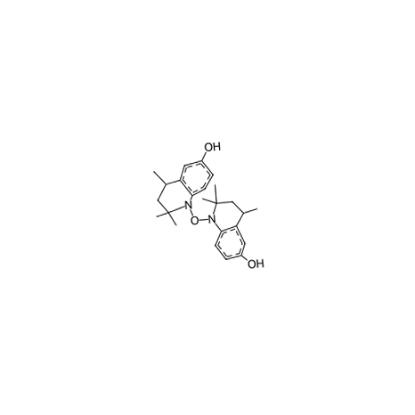 CC1CC(C)(C)N(ON2c3ccc(O)cc3C(C)CC2(C)C)c2ccc(O)cc21